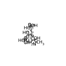 Cc1ncc(COP(=O)(O)O)c(CN=C(C=CCP(=O)(O)O)C(=O)O)c1O